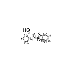 OCCN(Cc1ccccc1)c1nc2ccccc2s1